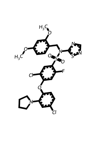 COc1ccc(CN(c2ncns2)S(=O)(=O)c2cc(Cl)c(Oc3ccc(Cl)cc3N3CCCC3)cc2F)c(OC)c1